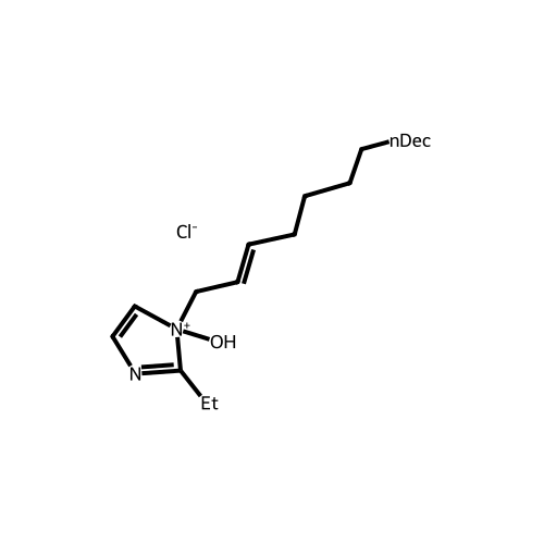 CCCCCCCCCCCCCC/C=C/C[N+]1(O)C=CN=C1CC.[Cl-]